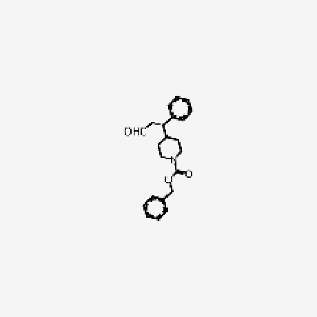 O=CC[C@@H](c1ccccc1)C1CCN(C(=O)OCc2ccccc2)CC1